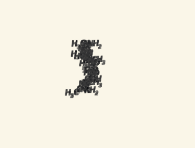 CCOc1nc(N)nc2c1ncn2[C@@H]1O[C@H](COP(=O)(NCc2ccccc2)OCCSC(=O)C(C)(C)COP2(=O)OC[C@H]3O[C@@H](n4cnc5c(C)nc(N)nc54)[C@](C)(O)[C@@H]3O2)[C@@H](O)[C@@]1(C)F